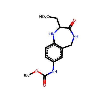 CC(C)(C)OC(=O)Nc1ccc2c(c1)CNC(=O)C(CC(=O)O)N2